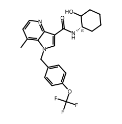 Cc1ccnc2c(C(=O)N[C@H]3CCCCC3O)cn(Cc3ccc(OC(F)(F)F)cc3)c12